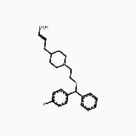 CCOC(=O)/C=C/CC1CCN(CCOC(c2ccccc2)c2ccc(F)cc2)CC1